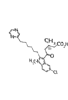 C[C@H](CC(=O)O)CC(=O)c1c(CCCCCCc2cnccn2)n(C)c2ccc(Cl)cc12